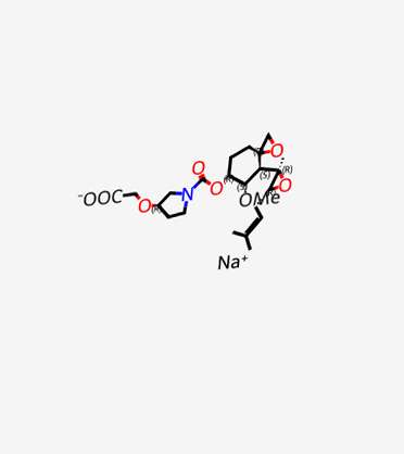 CO[C@@H]1[C@H](OC(=O)N2CC[C@@H](OCC(=O)[O-])C2)CC[C@]2(CO2)[C@H]1[C@@]1(C)O[C@@H]1CC=C(C)C.[Na+]